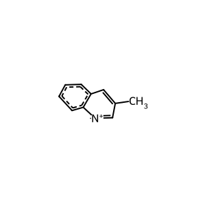 CC1=Cc2ccccc2[N+]=C1